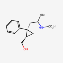 CC(C)(C)C(C[C@]1(c2ccccc2)C[C@H]1CO)NC(=O)O